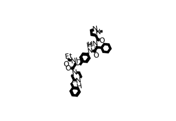 CCC(=O)N[C@H](Cc1ccc(NC(=O)[C@@H](NC(=O)c2ccnn2C)C2CCCCC2)cc1)C(=O)N1CCN[C@@H](Cc2ccccc2)C1